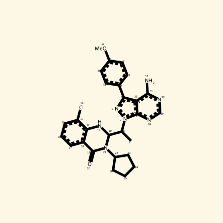 COc1ccc(-c2nn(C(C)C3Nc4c(Cl)cccc4C(=O)N3C3CCCC3)c3ncnc(N)c23)cc1